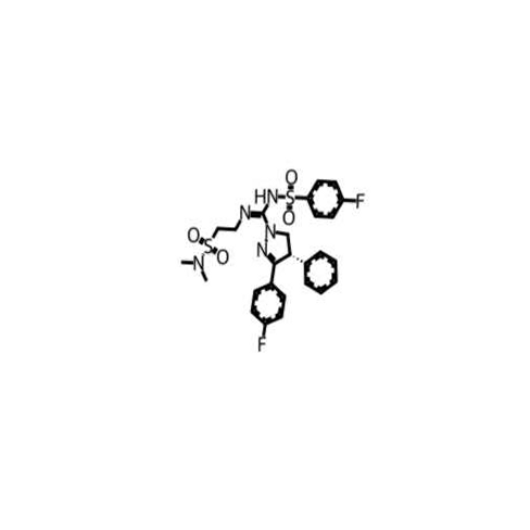 CN(C)S(=O)(=O)CC/N=C(/NS(=O)(=O)c1ccc(F)cc1)N1C[C@H](c2ccccc2)C(c2ccc(F)cc2)=N1